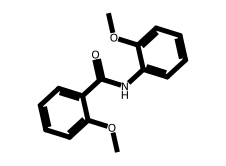 COc1ccccc1NC(=O)c1ccccc1OC